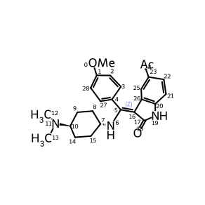 COc1ccc(/C(N[C@H]2CC[C@H](N(C)C)CC2)=C2/C(=O)Nc3ccc(C(C)=O)cc32)cc1